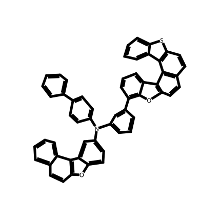 c1ccc(-c2ccc(N(c3cccc(-c4cccc5c4oc4ccc6ccc7sc8ccccc8c7c6c45)c3)c3ccc4oc5ccc6ccccc6c5c4c3)cc2)cc1